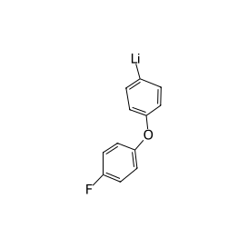 [Li][c]1ccc(Oc2ccc(F)cc2)cc1